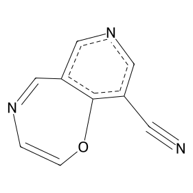 N#Cc1cncc2c1OC=CN=C2